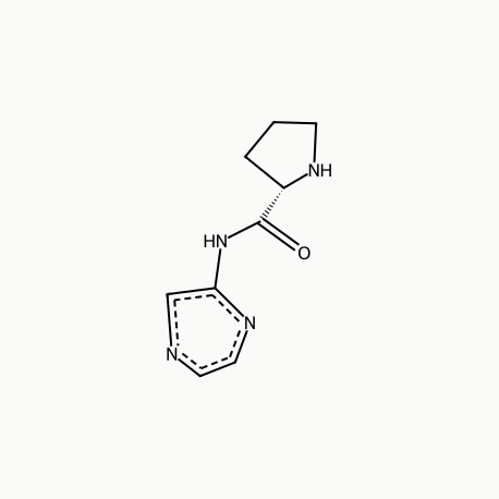 O=C(Nc1cnccn1)[C@@H]1CCCN1